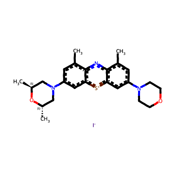 Cc1cc(N2CCOCC2)cc2[s+]c3cc(N4C[C@H](C)O[C@@H](C)C4)cc(C)c3nc12.[I-]